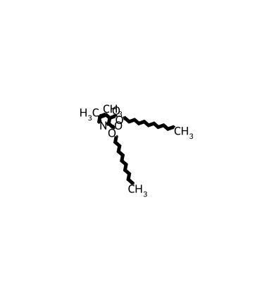 CCCCCCCCCCCCOC(=O)C1N=CC(C)=C(C)C1C(=O)OCCCCCCCCCCCC